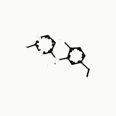 Cc1ccc(CO)cc1N(C)c1ccnc(Cl)n1